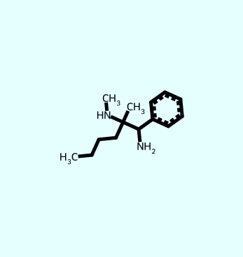 CCCCC(C)(NC)C(N)c1ccccc1